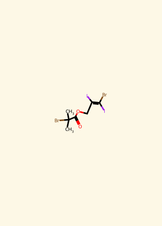 CC(C)(Br)C(=O)OCC(I)=C(Br)I